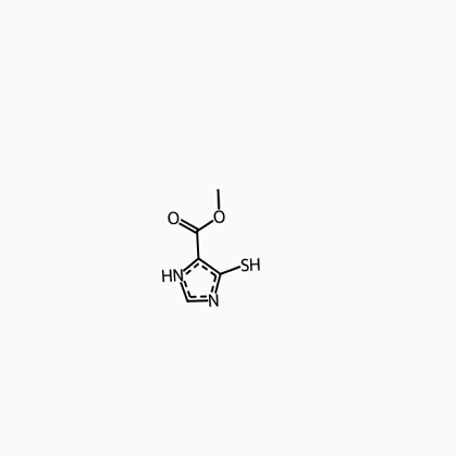 COC(=O)c1[nH]cnc1S